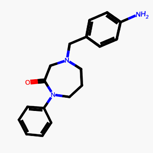 Nc1ccc(CN2CCCN(c3ccccc3)C(=O)C2)cc1